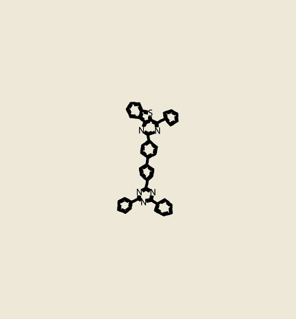 c1ccc(-c2nc(-c3ccccc3)nc(-c3ccc(-c4ccc(-c5nc(-c6ccccc6)c6sc7ccccc7c6n5)cc4)cc3)n2)cc1